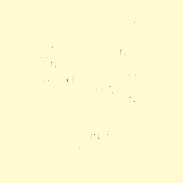 COc1cc2cc(c1Cl)N(C)C(=O)C[C@H](OC(=O)[C@H](C)N(C)C(=O)[C@H]1CC[C@H](CNC(=O)OC(C)(C)C)CC1)[C@]1(C)OC1[C@H](C)[C@@H]1C[C@@](O)(NC(=O)O1)[C@H](OC)/C=C/C=C(\C)C2